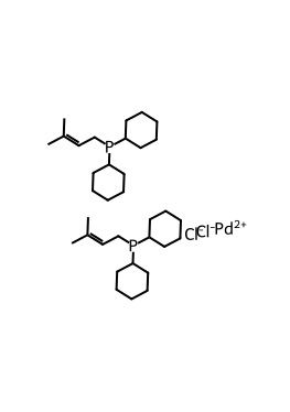 CC(C)=CCP(C1CCCCC1)C1CCCCC1.CC(C)=CCP(C1CCCCC1)C1CCCCC1.[Cl-].[Cl-].[Pd+2]